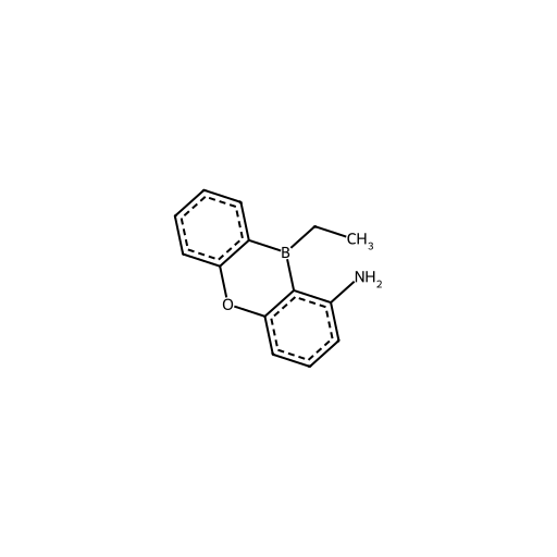 CCB1c2ccccc2Oc2cccc(N)c21